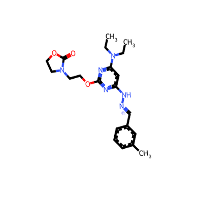 CCN(CC)c1cc(N/N=C/c2cccc(C)c2)nc(OCCN2CCOC2=O)n1